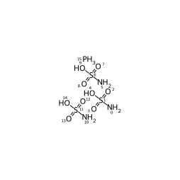 NS(=O)(=O)O.NS(=O)(=O)O.NS(=O)(=O)O.P